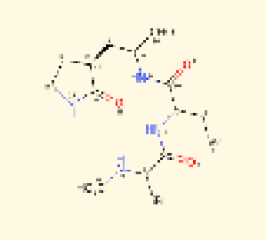 CC(C)CC(NC(=O)C(NC(=O)O)C(C)C)C(=O)NC(C=O)C[C@@H]1CCNC1=O